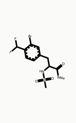 CNC(=O)C(Cc1ccc(C(F)F)c(Br)c1)NS(C)(=O)=O